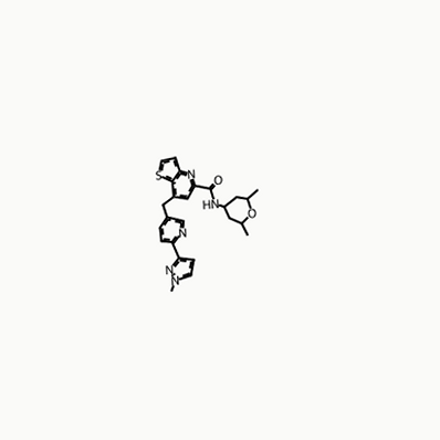 CC1CC(NC(=O)c2cc(Cc3ccc(-c4ccn(C)n4)nc3)c3sccc3n2)CC(C)O1